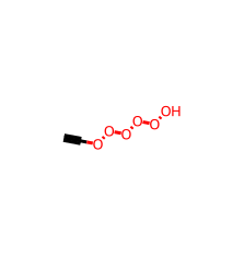 C#COOOOOO